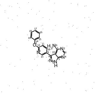 Nc1ncnc2[nH]nc(-c3ccc(Oc4ccccc4)nc3)c12